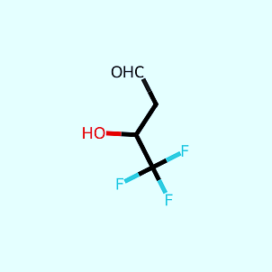 O=CCC(O)C(F)(F)F